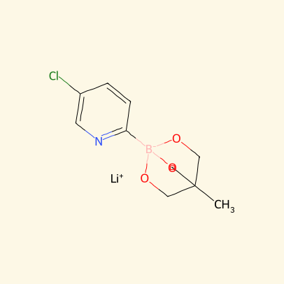 CC12CO[B-](c3ccc(Cl)cn3)(OC1)OC2.[Li+]